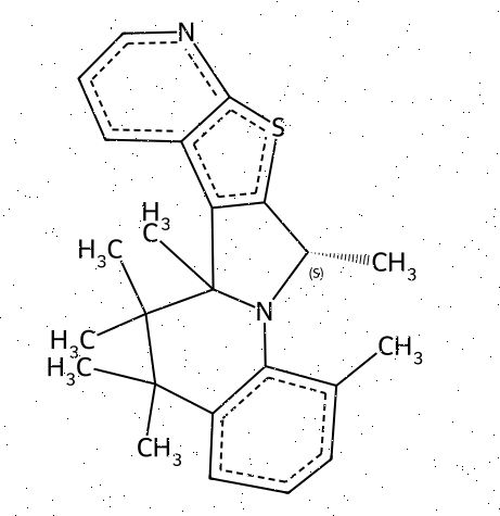 Cc1cccc2c1N1[C@@H](C)c3sc4ncccc4c3C1(C)C(C)(C)C2(C)C